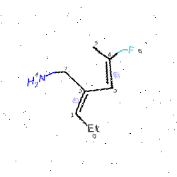 CC/C=C(\C=C(/C)F)CN